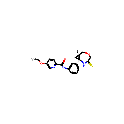 O=C(Nc1cccc([C@]23C[C@H]2COCC(=S)N3)c1)c1ccc(OCC(F)(F)F)cn1